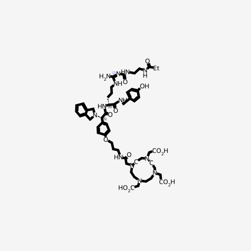 CCC(=O)NCCNC(=O)/N=C(/N)NCCC[C@@H](NC(=O)[C@H](c1ccc(OCCCNC(=O)CN2CCN(CC(=O)O)CCN(CC(=O)O)CCN(CC(=O)O)CC2)cc1)N1Cc2ccccc2C1)C(=O)NCc1ccc(O)cc1